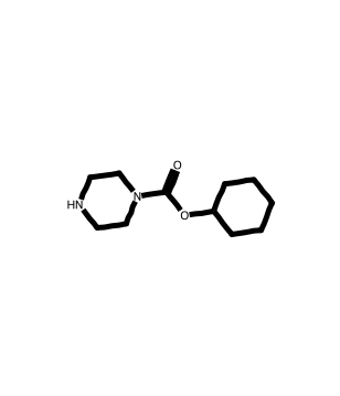 O=C(OC1CCCCC1)N1CCNCC1